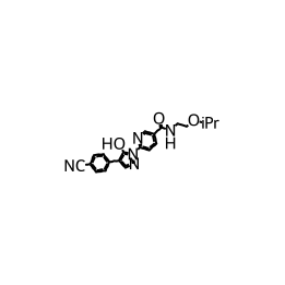 CC(C)OCCNC(=O)c1ccc(-n2ncc(-c3ccc(C#N)cc3)c2O)nc1